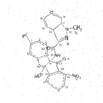 CC(C)c1ccc2c(c1)OC1(O)c3cccc([N+](=O)[O-])c3C(=O)C21NC(=O)C1=NN(C)C2C=CC=CC12